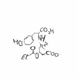 CCC(=O)O[C@H](CC(=O)[O-])C[N+](C)(C)C.Cl.N[C@@H](Cc1ccccc1)C(=O)O